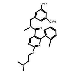 COc1cc(CN(C)C(=O)c2cnc(OCCN(C)C)nc2-c2ccccc2C)cc(OC)c1